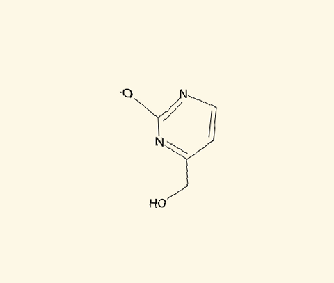 [O]c1nccc(CO)n1